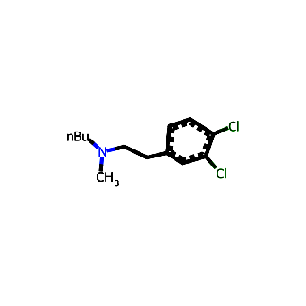 CCCCN(C)CCc1ccc(Cl)c(Cl)c1